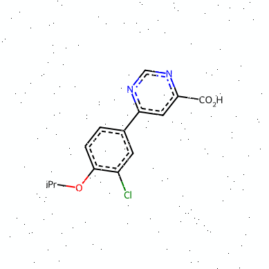 CC(C)Oc1ccc(-c2cc(C(=O)O)ncn2)cc1Cl